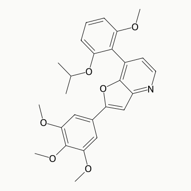 COc1cc(-c2cc3nccc(-c4c(OC)cccc4OC(C)C)c3o2)cc(OC)c1OC